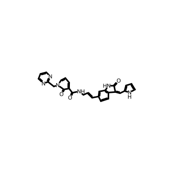 O=C1Nc2cc(C=CCNC(=O)c3cccn(Cc4ncccn4)c3=O)ccc2C1=Cc1ccc[nH]1